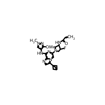 C=CC(=O)NC1CN(c2cn3c(C45CC(C4)C5)cnc3c(Nc3cn(C)nc3OC)n2)CC1F